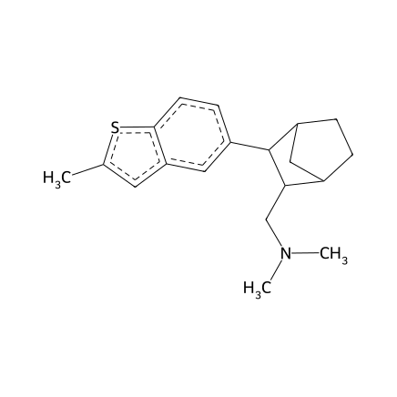 Cc1cc2cc(C3C4CCC(C4)C3CN(C)C)ccc2s1